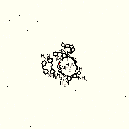 COc1cc2c3cc1[nH]c1c4cc5ccccc5[n+](C)c4c4[nH]c5ccc6cc(cc(N)c6c5)[nH]sc5c(OC)c(N)ccc5c5ccc(N)c(OC)c5s[nH]c5cc(N)c6cc(ccc6c5)[nH]c4c1[nH]c1ccc(c3c1)C2.Nc1ccc(CCc2ccc(N)cc2)cc1.Nc1ccc(Cc2ccc(N)cc2)cc1